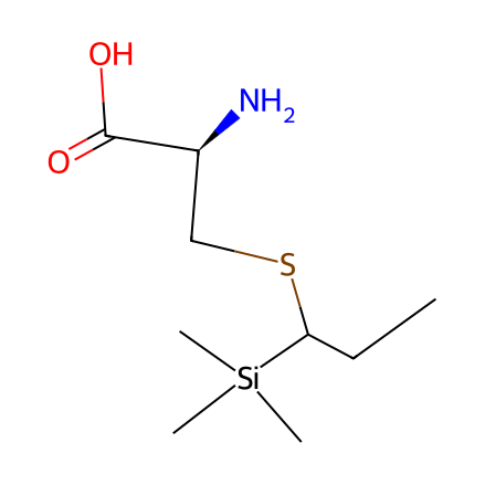 CCC(SC[C@H](N)C(=O)O)[Si](C)(C)C